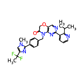 CC(C)c1ncccc1-c1ncc2c(n1)N(Cc1ccc(-c3nc(C(C)(F)F)cn3C)cc1)C(=O)CO2